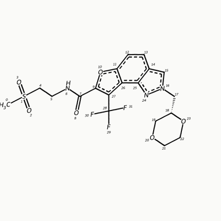 CS(=O)(=O)CCNC(=O)c1oc2ccc3cn(C[C@H]4COCCO4)nc3c2c1C(F)(F)F